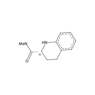 CNC(=O)[C@H]1CCc2ccccc2N1